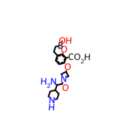 NC(C(=O)N1CC(Oc2ccc3c(c2C(=O)O)OB(O)CC3)C1)C1CCNCC1